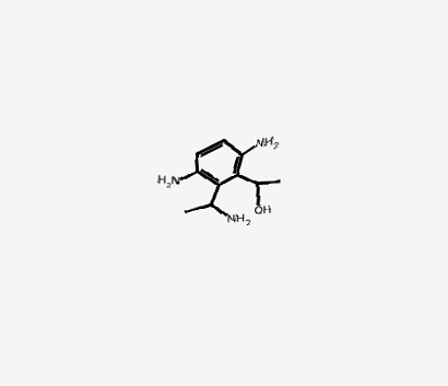 CC(N)c1c(N)ccc(N)c1C(C)O